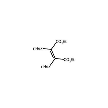 CCCCCC/C(C(=O)OCC)=C(\CCCCCC)C(=O)OCC